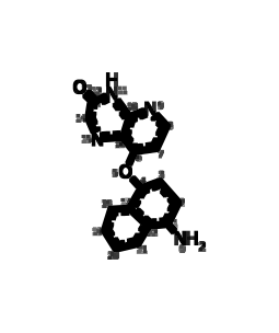 Nc1ccc(Oc2ccnc3[nH]c(=O)cnc23)c2ccccc12